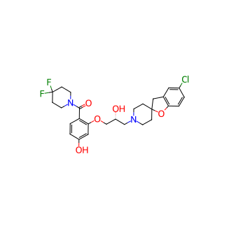 O=C(c1ccc(O)cc1OC[C@H](O)CN1CCC2(CC1)Cc1cc(Cl)ccc1O2)N1CCC(F)(F)CC1